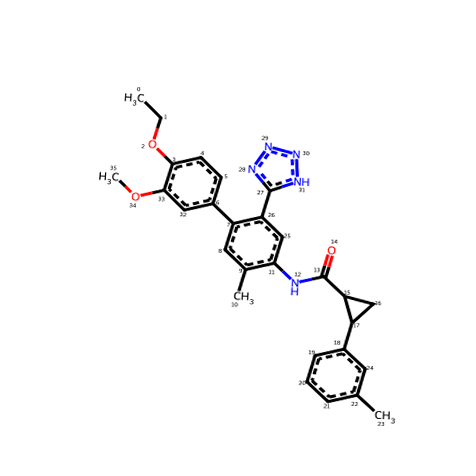 CCOc1ccc(-c2cc(C)c(NC(=O)C3CC3c3cccc(C)c3)cc2-c2nnn[nH]2)cc1OC